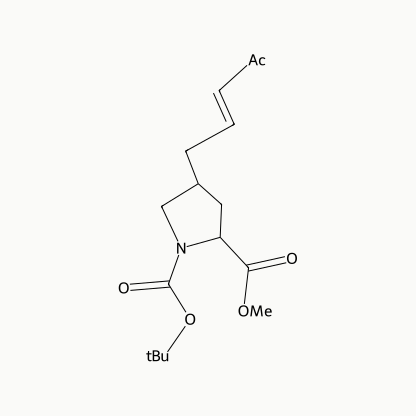 COC(=O)C1CC(CC=CC(C)=O)CN1C(=O)OC(C)(C)C